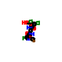 O=C(NC1CCC(NC(=O)c2cc(Cl)cc(Cl)c2OCCO)CC1)c1cc(F)cnc1OC1CCSCC1